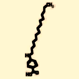 CCCCCCCCCCCCCCCNc1ccc(C(=O)O)cc1